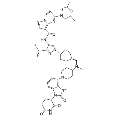 CC1CN(c2ccn3ncc(C(=O)Nc4cn([C@H]5CC[C@H](CN(C)C6CCN(c7cccc8c7n(C)c(=O)n8C7CCC(=O)NC7=O)CC6)CC5)nc4C(F)F)c3n2)CC(C)O1